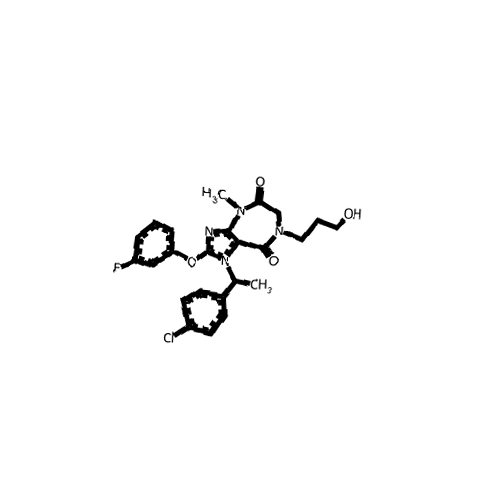 CC(c1ccc(Cl)cc1)n1c(Oc2cccc(F)c2)nc2c1C(=O)N(CCCO)CC(=O)N2C